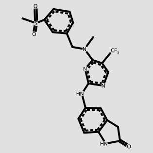 CN(Cc1cccc(S(C)(=O)=O)c1)c1nc(Nc2ccc3c(c2)CC(=O)N3)ncc1C(F)(F)F